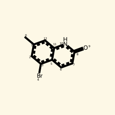 Cc1cc(Br)c2ccc(=O)[nH]c2c1